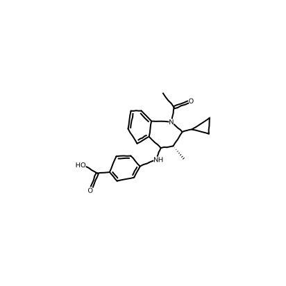 CC(=O)N1c2ccccc2C(Nc2ccc(C(=O)O)cc2)[C@@H](C)C1C1CC1